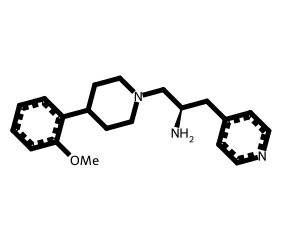 COc1ccccc1C1CCN(C[C@H](N)Cc2ccncc2)CC1